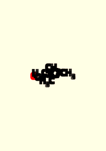 C=C(C)C1(CCC=C=O)CCC(C)=CC1C